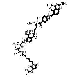 CCC(CC)SC1CC(=O)N(CCCCCC(=O)N[C@H](C(=O)N[C@@H](C)C(=O)Nc2ccc(C(=O)NCCC[C@@H](C=O)NC(=O)c3ccc(NCc4ccc5nc(N)nc(N)c5c4Cl)cc3)c(-c3nn[nH]n3)c2)C(C)C)C1=O